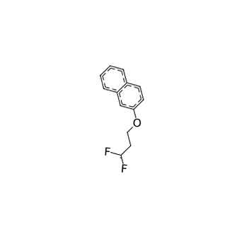 F[C](F)CCOc1ccc2ccccc2c1